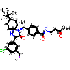 CC[C@H](c1ccc(C(=O)NCCC(=O)OC)cc1)N1C(=O)C(c2cc(Cl)cc(CI)c2)=NC12CCC(C(C)(C)CC)CC2